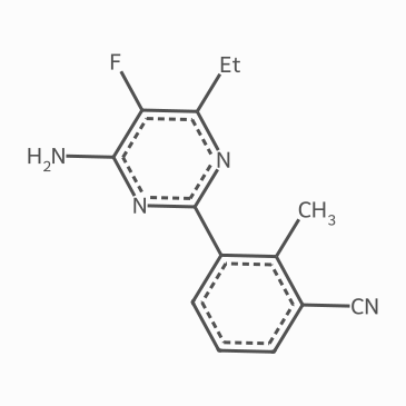 CCc1nc(-c2cccc(C#N)c2C)nc(N)c1F